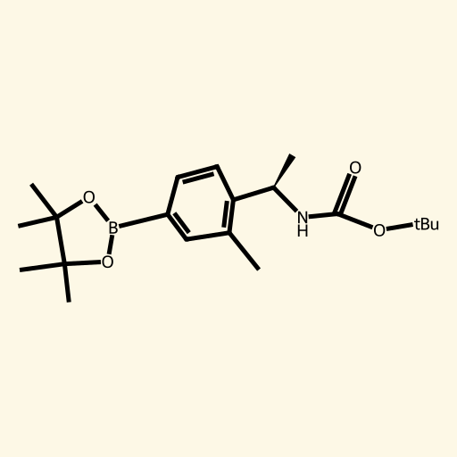 Cc1cc(B2OC(C)(C)C(C)(C)O2)ccc1[C@@H](C)NC(=O)OC(C)(C)C